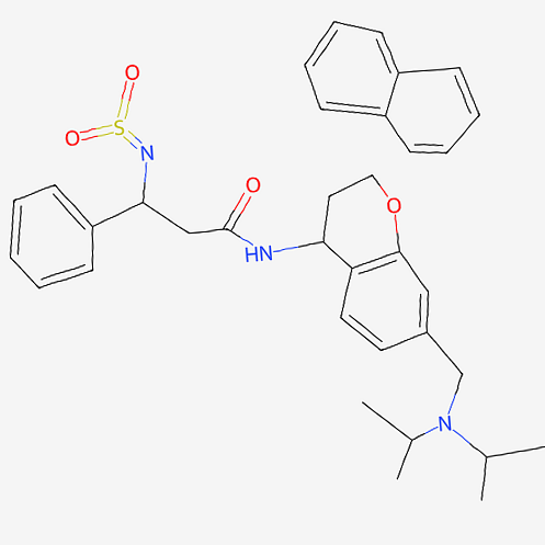 CC(C)N(Cc1ccc2c(c1)OCCC2NC(=O)CC(N=S(=O)=O)c1ccccc1)C(C)C.c1ccc2ccccc2c1